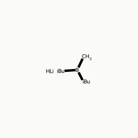 CCC(C)B(C)C(C)CC.[LiH]